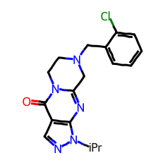 CC(C)n1ncc2c(=O)n3c(nc21)CN(Cc1ccccc1Cl)CC3